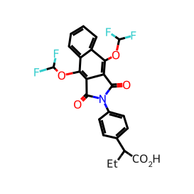 CCC(C(=O)O)c1ccc(N2C(=O)c3c(c(OC(F)F)c4ccccc4c3OC(F)F)C2=O)cc1